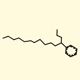 CCCCCCCCCCCC(CCC)c1ccccc1